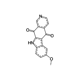 COc1ccc2[nH]c3c(c2c1)C(=O)c1ccncc1C3=O